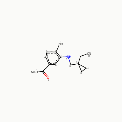 COC(=O)c1ccc([N+](=O)[O-])c(NCC2(CC#N)CC2)c1